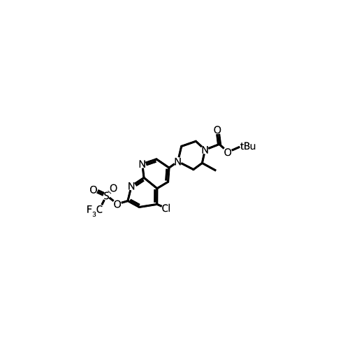 CC1CN(c2cnc3nc(OS(=O)(=O)C(F)(F)F)cc(Cl)c3c2)CCN1C(=O)OC(C)(C)C